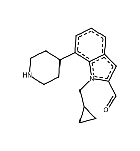 O=Cc1cc2cccc(C3CCNCC3)c2n1CC1CC1